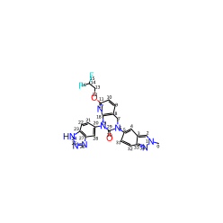 Cn1cc2cc(N3Cc4ccc(OCC(F)F)nc4N(c4ccc5[nH]nnc5c4)C3=O)ccc2n1